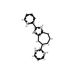 c1ccc(-c2nc3c(o2)CCCC(c2ncccn2)C3)nc1